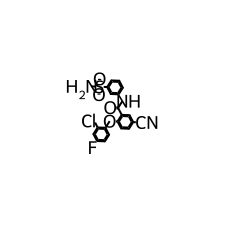 N#Cc1ccc(Oc2ccc(F)cc2Cl)c(C(=O)Nc2cccc(S(N)(=O)=O)c2)c1